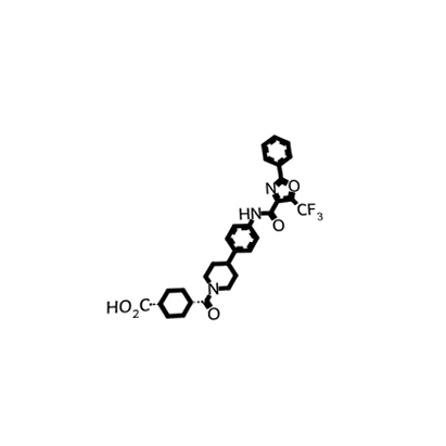 O=C(Nc1ccc(C2CCN(C(=O)[C@H]3CC[C@@H](C(=O)O)CC3)CC2)cc1)c1nc(-c2ccccc2)oc1C(F)(F)F